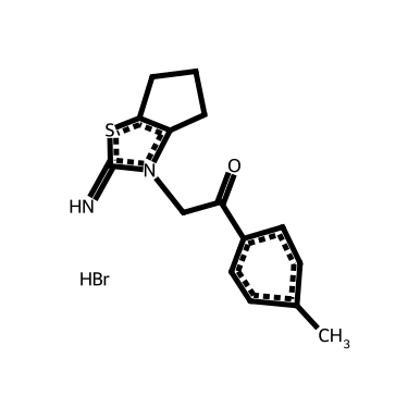 Br.Cc1ccc(C(=O)Cn2c3c(sc2=N)CCC3)cc1